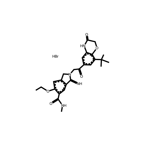 Br.CCOc1cc2c(cc1C(=O)NC)C(=N)N(CC(=O)c1cc3c(c(C(C)(C)C)c1)OCC(=O)N3)C2